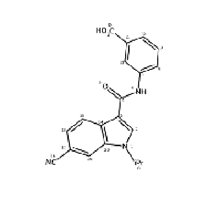 CC(C)n1cc(C(=O)Nc2cccc(C(=O)O)c2)c2ccc(C#N)cc21